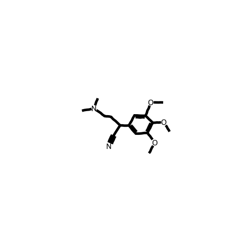 COc1cc(C(C#N)CCN(C)C)cc(OC)c1OC